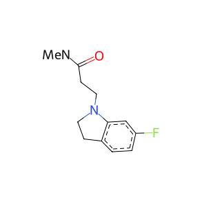 CNC(=O)CCN1CCc2ccc(F)cc21